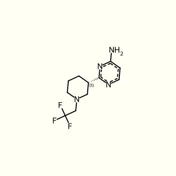 Nc1ccnc([C@H]2CCCN(CC(F)(F)F)C2)n1